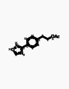 CC(=O)OCCc1ccc(-c2ncon2)cc1